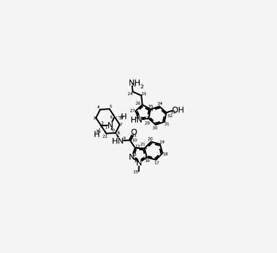 CN1[C@@H]2CCC[C@H]1C[C@@H](NC(=O)c1nn(C)c3ccccc13)C2.NCCc1c[nH]c2ccc(O)cc12